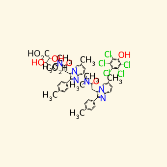 Cc1ccc(-c2nc3ccc(C)cn3c2CC(=O)N(C)C)cc1.Cc1ccc(-c2nc3ccc(C)cn3c2CC(=O)N(C)C)cc1.O=C(O)C(O)C(O)C(=O)O.Oc1c(Cl)c(Cl)c(Cl)c(Cl)c1Cl